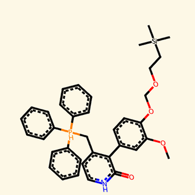 COc1cc(-c2c(C[PH](c3ccccc3)(c3ccccc3)c3ccccc3)cc[nH]c2=O)ccc1OCOCC[Si](C)(C)C